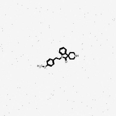 COc1ccc(CCNC(=O)C2(c3ccccc3)CCNCC2)cc1